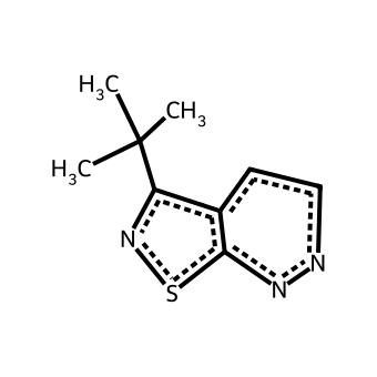 CC(C)(C)c1nsc2nnccc12